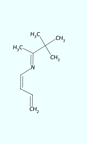 C=C/C=C\N=C(/C)C(C)(C)C